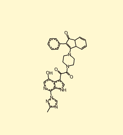 Cc1ncn(-c2ncc(O)c3c(C(=O)C(=O)N4CCN(C5=C(c6ccccc6)C(=O)C6C=CC=CC56)CC4)c[nH]c23)n1